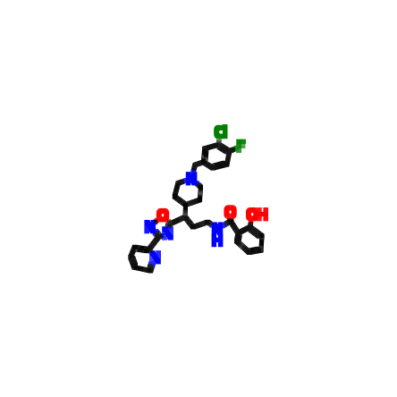 O=C(NCCC(c1nc(-c2ccccn2)no1)C1CCN(Cc2ccc(F)c(Cl)c2)CC1)c1ccccc1O